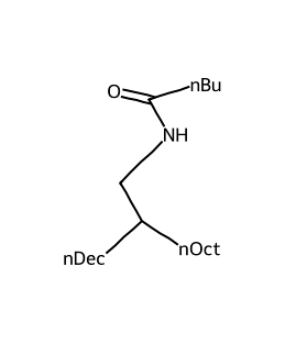 CCCCCCCCCCC(CCCCCCCC)CNC(=O)CCCC